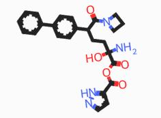 NC(O)(CCC(C(=O)N1CCC1)c1ccc(-c2ccccc2)cc1)C(=O)OC(=O)c1ccn[nH]1